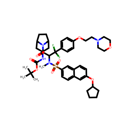 CN(C(C(=O)N1C2CCC1CC(NC(=O)OC(C)(C)C)C2)C(F)(F)c1ccc(OCCN2CCOCC2)cc1)S(=O)(=O)c1ccc2cc(OC3CCCC3)ccc2c1